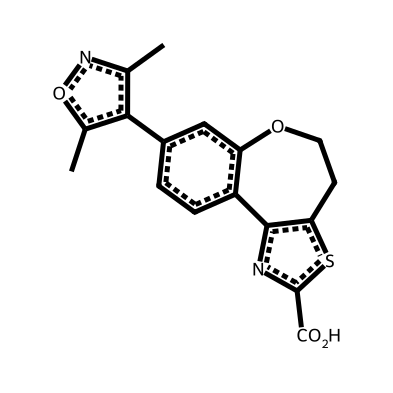 Cc1noc(C)c1-c1ccc2c(c1)OCCc1sc(C(=O)O)nc1-2